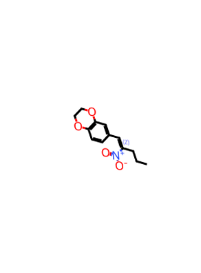 CCC/C(=C/c1ccc2c(c1)OCCO2)[N+](=O)[O-]